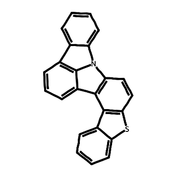 c1ccc2c(c1)sc1ccc3c(c4cccc5c6ccccc6n3c54)c12